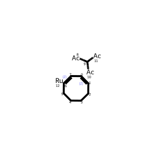 C1=C\CCCC\C=C/1.CC(=O)C(C(C)=O)C(C)=O.[Ru]